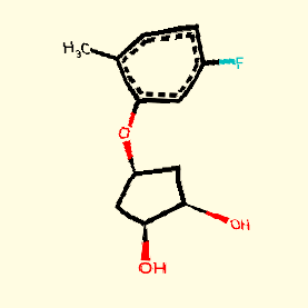 Cc1ccc(F)cc1O[C@H]1C[C@@H](O)[C@@H](O)C1